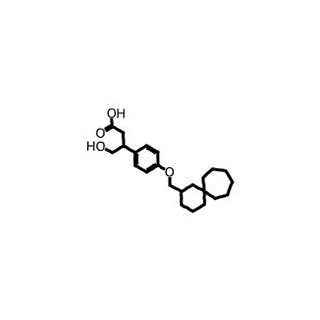 O=C(O)CC(CO)c1ccc(OCC2CCCC3(CCCCCC3)C2)cc1